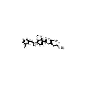 NC(=O)C(CCC=O)NC(=O)C1=CCC(NCc2cccc(Cl)c2)C=C1C=O